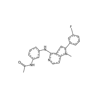 CC(=O)Nc1cccc(Nc2nccc3c2cc(-c2cccc(F)c2)n3C)c1